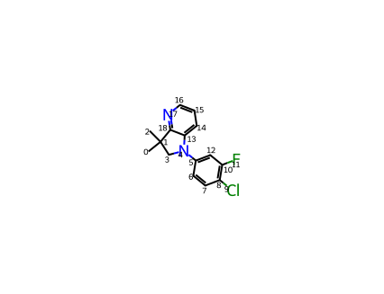 CC1(C)CN(c2ccc(Cl)c(F)c2)c2cccnc21